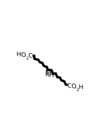 O=C(O)CCCCCCCCCCCCCCCCC(=O)O.[KH].[KH]